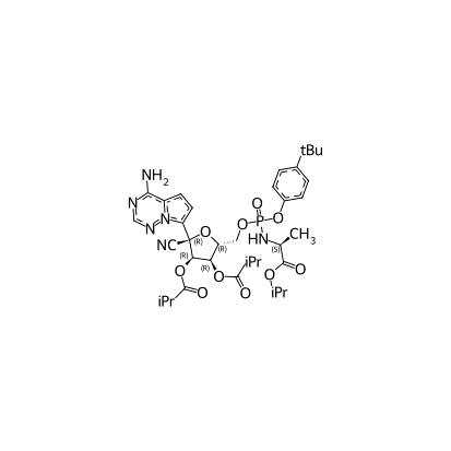 CC(C)OC(=O)[C@H](C)NP(=O)(OC[C@H]1O[C@@](C#N)(c2ccc3c(N)ncnn23)[C@H](OC(=O)C(C)C)[C@@H]1OC(=O)C(C)C)Oc1ccc(C(C)(C)C)cc1